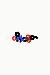 C=Cc1ccc(S(=O)(=O)N2CCN(C(C)c3nc4ccccc4c(=O)n3C)CC2)cc1